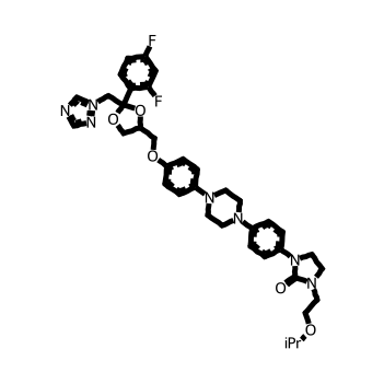 CC(C)OCCN1CCN(c2ccc(N3CCN(c4ccc(OCC5COC(Cn6cncn6)(c6ccc(F)cc6F)O5)cc4)CC3)cc2)C1=O